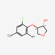 CCCc1cc([N+](=O)[O-])cc(F)c1O[C@@H]1COC[C@H]1O